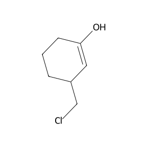 OC1=CC(CCl)CCC1